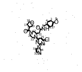 COc1ccc(CNC(=O)CC2CN(C(=O)C3CCOC3)CCN2c2cc(Cl)nc(-n3ccnc3)n2)cc1